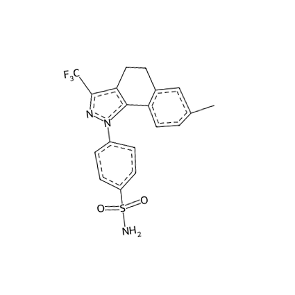 Cc1ccc2c(c1)CCc1c(C(F)(F)F)nn(-c3ccc(S(N)(=O)=O)cc3)c1-2